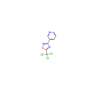 ClC(Cl)(Cl)c1nc(-c2cccnc2)no1